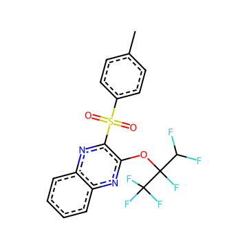 Cc1ccc(S(=O)(=O)c2nc3ccccc3nc2OC(F)(C(F)F)C(F)(F)F)cc1